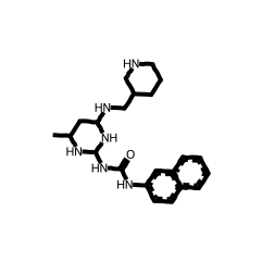 CC1CC(NCC2CCCNC2)NC(NC(=O)Nc2ccc3ccccc3c2)N1